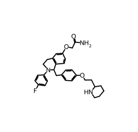 NC(=O)COc1ccc2c(c1)CCN(c1ccc(F)cc1)C2Cc1ccc(OCCC2CCCCN2)cc1